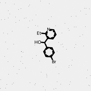 CCc1ncccc1C(O)c1ccc(Br)cc1